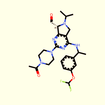 CC(=O)N1CCN(c2nc(NC(C)c3cccc(OC(F)F)c3)c3c(n2)[C@H](C=O)N(C(C)C)C3)CC1